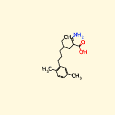 CCC(CCCc1cc(C)ccc1C)CC(CN)C(=O)O